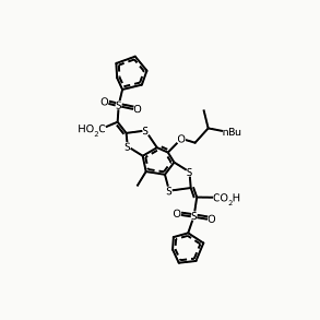 CCCCC(C)COc1c2c(c(C)c3c1S/C(=C(\C(=O)O)S(=O)(=O)c1ccccc1)S3)S/C(=C(\C(=O)O)S(=O)(=O)c1ccccc1)S2